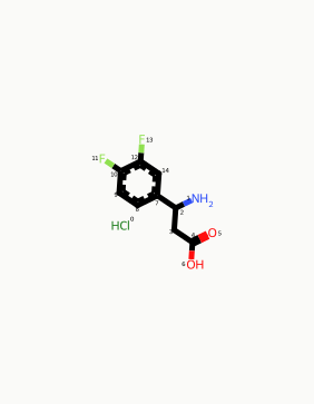 Cl.NC(CC(=O)O)c1ccc(F)c(F)c1